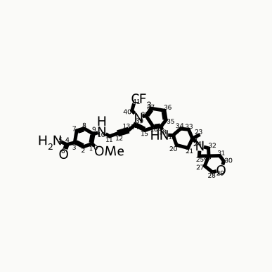 COc1cc(C(N)=O)ccc1NCC#Cc1cc2c(NC3CCC(C)(N4CC5(CCOCC5)C4)CC3)cccc2n1CC(F)(F)F